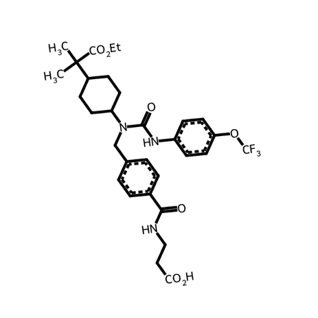 CCOC(=O)C(C)(C)C1CCC(N(Cc2ccc(C(=O)NCCC(=O)O)cc2)C(=O)Nc2ccc(OC(F)(F)F)cc2)CC1